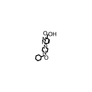 O=C(O)c1ccc(N2CCN(C(=O)C3CCCCC3)CC2)nn1